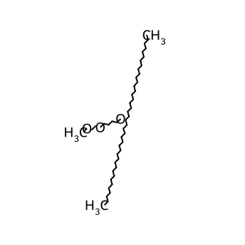 CCCCCCCCCCCCCCCCCCCCC(CCCCCCCCCCCCCCCCCCCC)OCCCCOCCOC